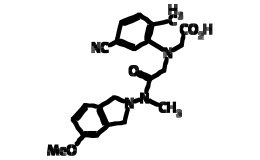 COc1ccc2c(c1)CN(N(C)C(=O)CN(CC(=O)O)c1cc(C#N)ccc1C)C2